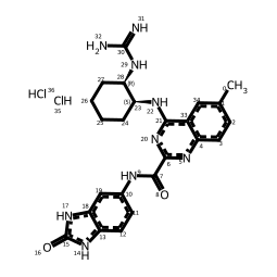 Cc1ccc2nc(C(=O)Nc3ccc4[nH]c(=O)[nH]c4c3)nc(N[C@H]3CCCC[C@H]3NC(=N)N)c2c1.Cl.Cl